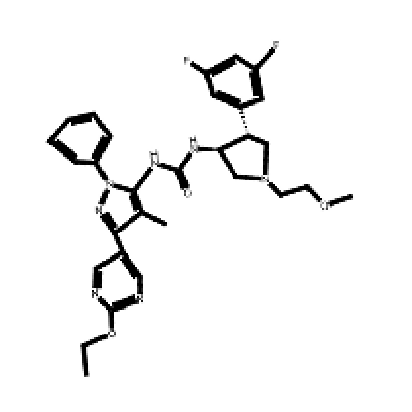 CCOc1ncc(-c2nn(-c3ccccc3)c(NC(=O)N[C@@H]3CN(CCOC)C[C@H]3c3cc(F)cc(F)c3)c2C)cn1